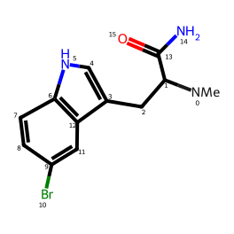 CNC(Cc1c[nH]c2ccc(Br)cc12)C(N)=O